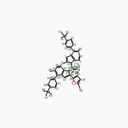 CC1=Cc2c(ccc(C)c2-c2ccc(C(C)(C)C)cc2)[CH]1[Zr]([Cl])([Cl])([CH]1C(c2ccc(C)o2)=Cc2c1ccc(C)c2-c1ccc(C(C)(C)C)cc1)=[Si](C)C